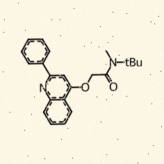 CN(C(=O)COc1cc(-c2ccccc2)nc2ccccc12)C(C)(C)C